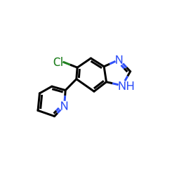 Clc1cc2nc[nH]c2cc1-c1ccccn1